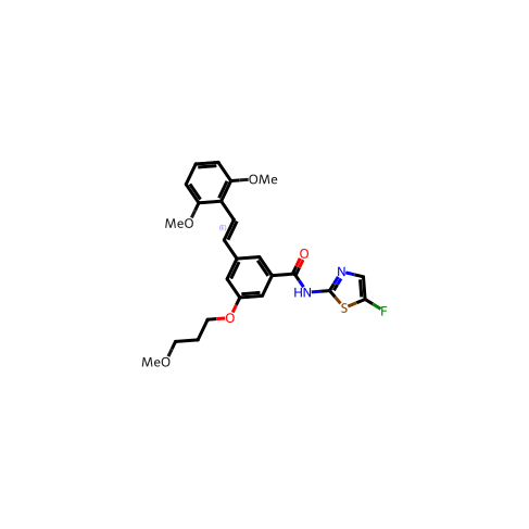 COCCCOc1cc(/C=C/c2c(OC)cccc2OC)cc(C(=O)Nc2ncc(F)s2)c1